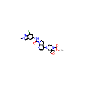 Cn1cc2cc(NC(=O)N3CCc4c(N5CCN(C(=O)OC(C)(C)C)C6(COC6)C5)ccnc43)cc(F)c2n1